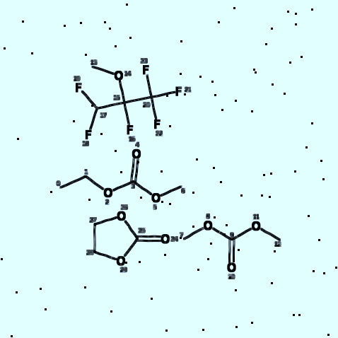 CCOC(=O)OC.COC(=O)OC.COC(F)(C(F)F)C(F)(F)F.O=C1OCCO1